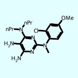 CCCN(CCC)c1nc(N(C)c2ccc(OC)cc2Cl)nc(N)c1N